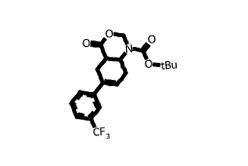 CC(C)(C)OC(=O)N1COC(=O)C2CC(c3cccc(C(F)(F)F)c3)=CCC21